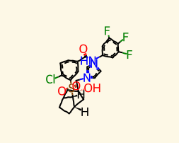 O=C(Nc1cc(F)c(F)c(F)c1)c1ccc(Cl)c(S(=O)(=O)[C@H]2C3CC[C@H]2C[C@](O)(Cn2ccnc2)C3)c1